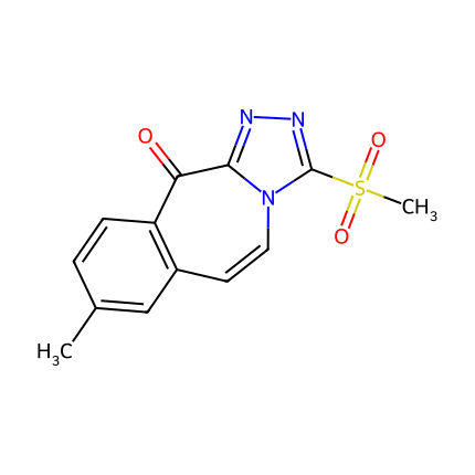 Cc1ccc2c(=O)c3nnc(S(C)(=O)=O)n3ccc2c1